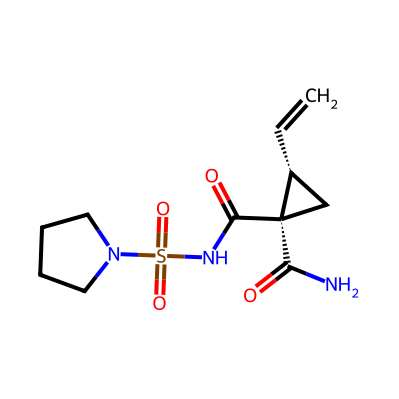 C=C[C@@H]1C[C@@]1(C(N)=O)C(=O)NS(=O)(=O)N1CCCC1